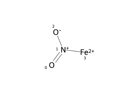 O=[N+]([O-])[Fe+2]